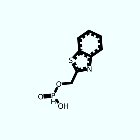 O=[PH](O)OCc1nc2ccccc2s1